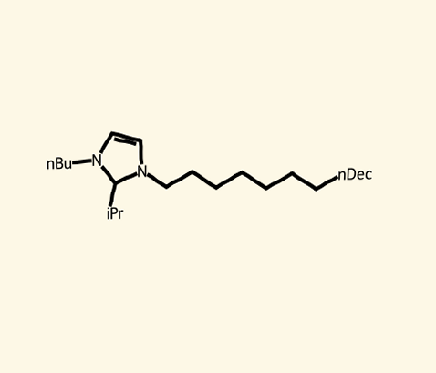 CCCCCCCCCCCCCCCCCN1C=CN(CCCC)C1C(C)C